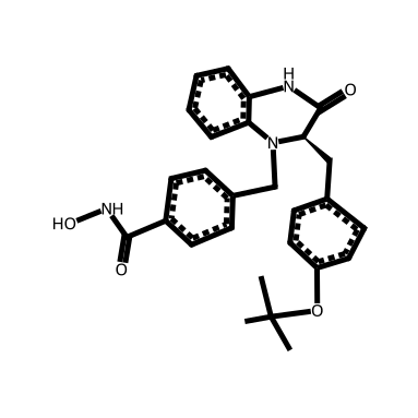 CC(C)(C)Oc1ccc(C[C@@H]2C(=O)Nc3ccccc3N2Cc2ccc(C(=O)NO)cc2)cc1